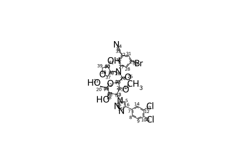 CO[C@@H]1[C@@H](n2cc(-c3ccc(Cl)c(Cl)c3)nn2)[C@@H](O)[C@@H](CO)O[C@H]1C(=O)N(c1cc(Br)cc(C#N)c1)[C@H]1COC[C@@H]1O